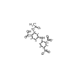 CC(=O)Oc1cc(Nc2ccc([N+](=O)[O-])cc2[N+](=O)[O-])ccc1C(=O)O